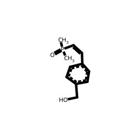 CP(C)(=O)/C=C\c1ccc(CO)cc1